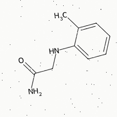 Cc1ccccc1NCC(N)=O